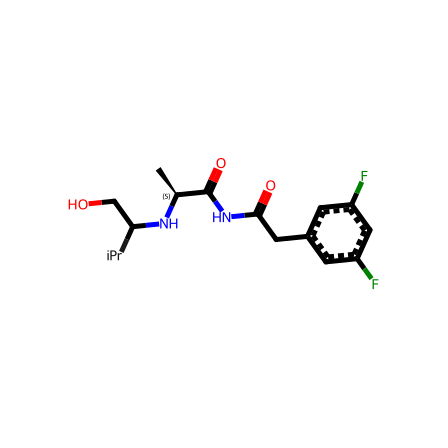 CC(C)C(CO)N[C@@H](C)C(=O)NC(=O)Cc1cc(F)cc(F)c1